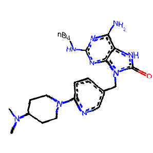 CCCCNc1nc(N)c2[nH]c(=O)n(Cc3ccc(N4CCC(N(C)C)CC4)nc3)c2n1